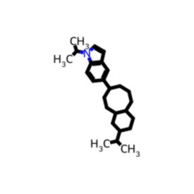 CC(C)C1CCC2CCCC(c3ccc4c(ccn4C(C)C)c3)CCC2C1